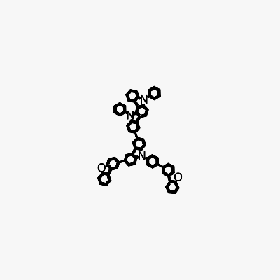 c1ccc(-n2c3ccccc3c3c2ccc2c4cc(-c5ccc6c(c5)c5cc(-c7ccc8oc9ccccc9c8c7)ccc5n6-c5ccc(-c6ccc7oc8ccccc8c7c6)cc5)ccc4n(-c4ccccc4)c23)cc1